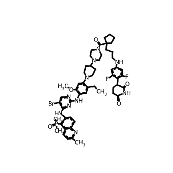 CCc1cc(Nc2ncc(Br)c(Nc3ccc4nc(C)ccc4c3P(C)(C)=O)n2)c(OC)cc1N1CCC(N2CCN(C(=O)C3(CCCNc4cc(F)c(C5CCC(=O)NC5=O)c(F)c4)CCCC3)CC2)CC1